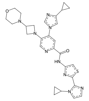 O=C(Nc1csc(-c2nccn2C2CC2)n1)c1cc(-n2cnc(C3CC3)c2)c(N2CC(N3CCOCC3)C2)cn1